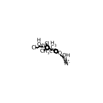 CC(C)(c1ccc(OC[C@H](O)CN=[N+]=[N-])cc1)c1cc(Cl)c(OC[C@H](O)CCl)c(Cl)c1